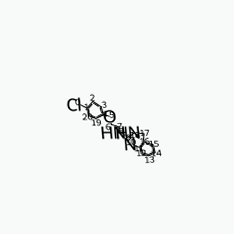 Clc1ccc(OCCNC2=Nc3ccccc3CN2)cc1